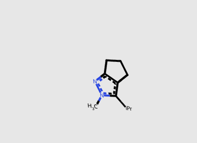 CC(C)c1c2c(nn1C)CCC2